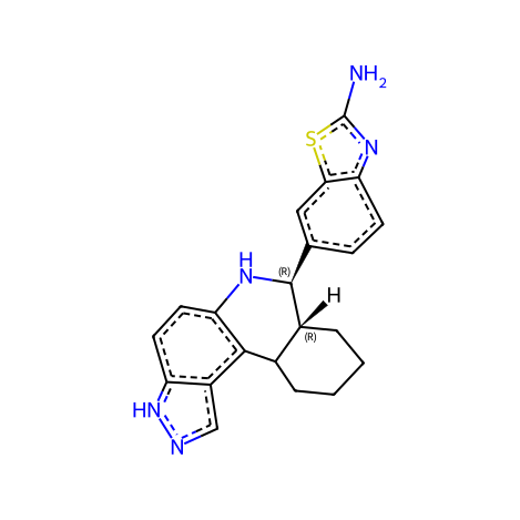 Nc1nc2ccc([C@@H]3Nc4ccc5[nH]ncc5c4C4CCCC[C@H]43)cc2s1